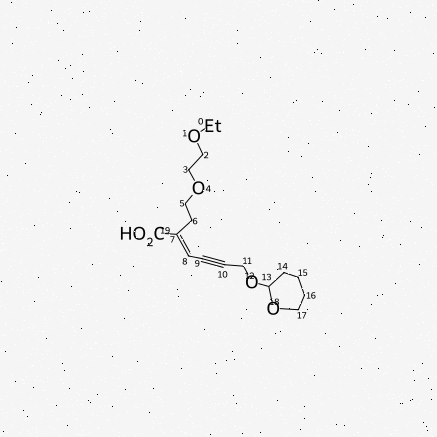 CCOCCOCCC(=CC#CCOC1CCCCO1)C(=O)O